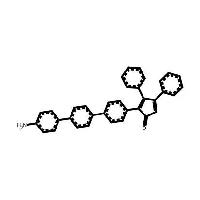 Nc1ccc(-c2ccc(-c3ccc(C4=C(c5ccccc5)C(c5ccccc5)=CC4=O)cc3)cc2)cc1